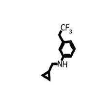 FC(F)(F)Cc1cccc(NCC2CC2)c1